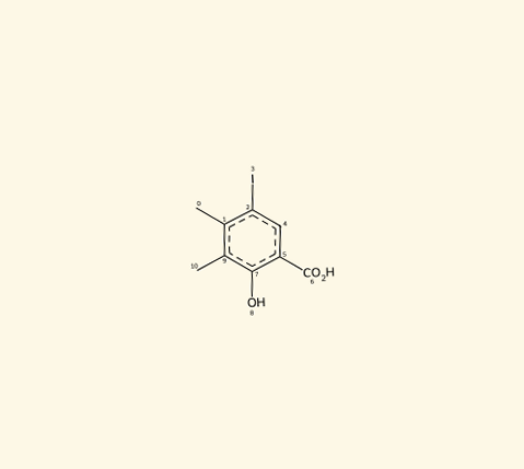 Cc1c(I)cc(C(=O)O)c(O)c1C